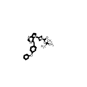 CC(C)(C)OC(=O)N1CC(n2ccc3ncnc(Cc4ccc(Oc5ccccc5)cc4)c32)C1